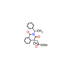 COC(=O)CC1(C)C(=O)N(C(C)c2ccccc2)C(=O)c2ccccc21